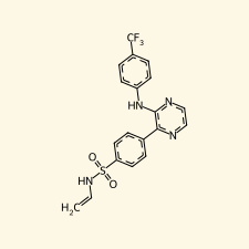 C=CNS(=O)(=O)c1ccc(-c2nccnc2Nc2ccc(C(F)(F)F)cc2)cc1